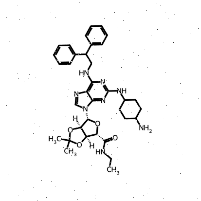 CCNC(=O)[C@H]1O[C@@H](n2cnc3c(NCC(c4ccccc4)c4ccccc4)nc(NC4CCC(N)CC4)nc32)[C@@H]2OC(C)(C)O[C@@H]21